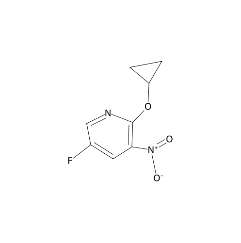 O=[N+]([O-])c1cc(F)cnc1OC1CC1